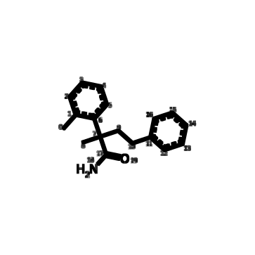 Cc1ccccc1C(C)(CCc1ccccc1)C(N)=O